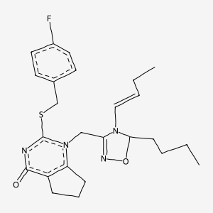 CC/C=C/N1C(Cn2c(SCc3ccc(F)cc3)nc(=O)c3c2CCC3)=NOC1CCCC